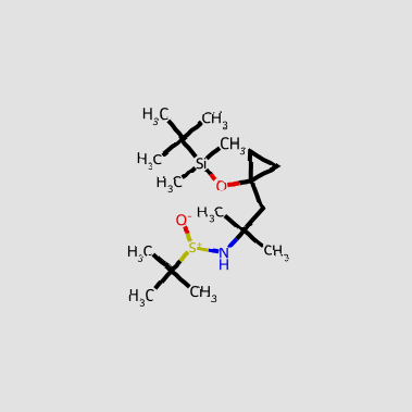 CC(C)(CC1(O[Si](C)(C)C(C)(C)C)CC1)N[S+]([O-])C(C)(C)C